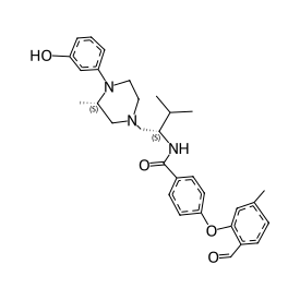 Cc1ccc(C=O)c(Oc2ccc(C(=O)N[C@H](CN3CCN(c4cccc(O)c4)[C@@H](C)C3)C(C)C)cc2)c1